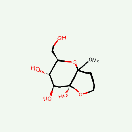 COC12CCO[C@@]1(O)[C@@H](O)[C@H](O)[C@@H](CO)O2